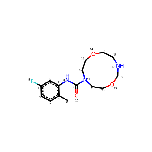 Cc1ccc(F)cc1NC(=O)N1CCOCCNCOCC1